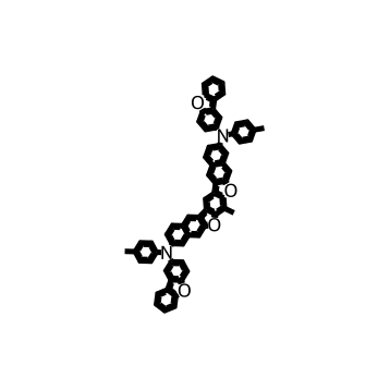 Cc1ccc(N(c2ccc3cc4c(cc3c2)oc2c(C)c3oc5cc6cc(N(c7ccc(C)cc7)c7ccc8oc9ccccc9c8c7)ccc6cc5c3cc24)c2ccc3oc4ccccc4c3c2)cc1